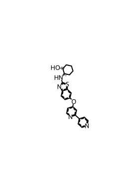 O[C@@H]1CCCC[C@H]1Nc1nc2ccc(Oc3ccnc(-c4ccncc4)c3)cc2s1